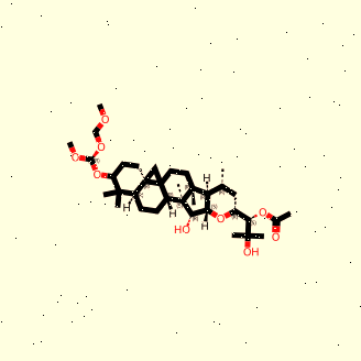 COCO[C@H](OC)OC1CC[C@]23CC24CC[C@]2(C)[C@@H]5[C@H](O[C@@H]([C@H](OC(C)=O)C(C)(C)O)C[C@H]5C)[C@H](O)[C@@]2(C)[C@@H]4CC[C@H]3C1(C)C